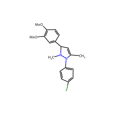 COc1ccc(C2C=C(C)N(c3ccc(F)cc3)N2C)cc1OC